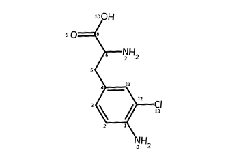 Nc1ccc(CC(N)C(=O)O)cc1Cl